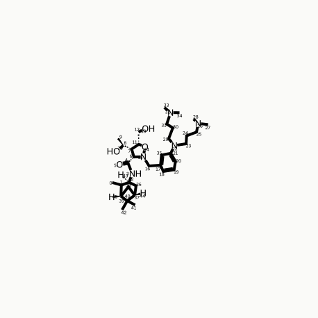 CC1[C@@H](NC(=O)[C@@H]2[C@H]([C@H](C)O)[C@H](CO)ON2Cc2cccc(N(CCCN(C)C)CCCN(C)C)c2)C[C@H]2C[C@@H]1C2(C)C